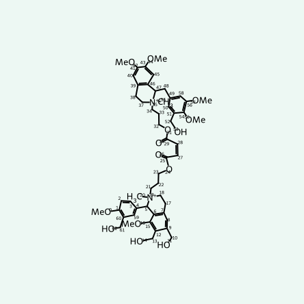 COc1ccc(C2c3c(cc(CO)c(CO)c3OC)CC[N+]2(C)CCCOC(=O)/C=C\C(=O)OCCC[N+]2(C)CCc3cc(OC)c(OC)cc3C2Cc2cc(CO)c(OC)c(OC)c2)cc1CO